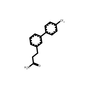 NC(=O)CCc1cccc(-c2ccc(C(F)(F)F)cc2)c1